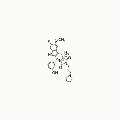 COc1cc2c3c([nH]c2cc1F)[C@@H](c1cccc(O)c1)N1C(=O)N(CCCN2CCCC2)C(=O)[C@]1(C)C3